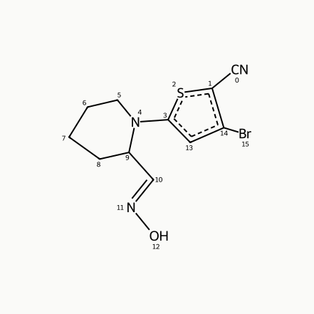 N#Cc1sc(N2CCCCC2/C=N/O)cc1Br